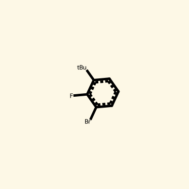 CC(C)(C)c1cccc(Br)c1F